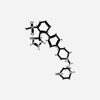 CS(=O)(=O)c1cccc(-c2ccc(C3CCN(C[C@H]4CNCCO4)CC3)cc2)c1-c1nnn[nH]1